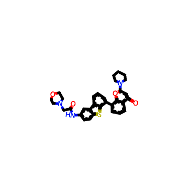 O=C(CN1CCOCC1)Nc1ccc2sc3c(-c4cccc5c(=O)cc(N6CCCCC6)oc45)cccc3c2c1